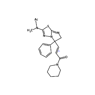 CC(=O)N(C)C1=NN2C(=NCC2(/C=C/C(=O)N2CCCCC2)c2ccccc2)S1